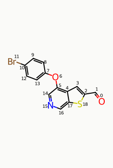 O=Cc1cc2c(Oc3ccc(Br)cc3)cncc2s1